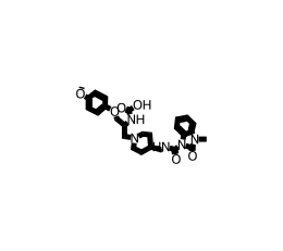 COc1ccc(OCC(CN2CCC(CNC(=O)n3c(=O)n(C)c4ccccc43)CC2)NC(=O)O)cc1